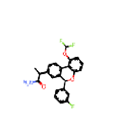 CC(C(N)=O)c1ccc2c(c1)C(c1cccc(F)c1)Oc1cccc(OC(F)F)c1-2